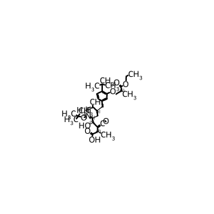 CCOC(=O)[C@@H](C)COc1cc(C[C@@H](C[C@H](NOC(C)(C)C)[C@@H](O)C(=C=O)[C@@H](C)C(=O)O)C(C)C)ccc1C(C)(C)C